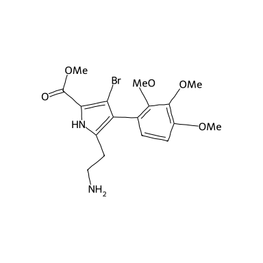 COC(=O)c1[nH]c(CCN)c(-c2ccc(OC)c(OC)c2OC)c1Br